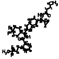 CCCC(=O)N[C@@H](c1cnn2cc([C@@H](NC(=O)c3ncnn3CCC(C)(F)F)C3CCC(F)(F)CC3)nc2c1)C1CC1